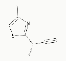 C#C[C@H](C)c1nc(C)cs1